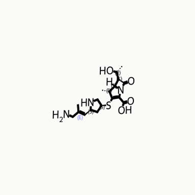 C/C(=C\[C@@H]1C[C@H](SC2=C(C(=O)O)N3C(=O)[C@H]([C@@H](C)O)[C@H]3[C@H]2C)CN1)CN